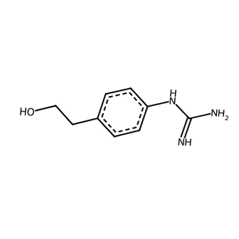 N=C(N)Nc1ccc(CCO)cc1